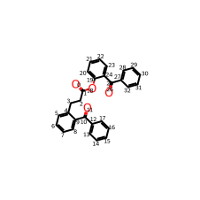 O=C(CCc1ccccc1C(=O)c1ccccc1)Oc1ccccc1C(=O)c1ccccc1